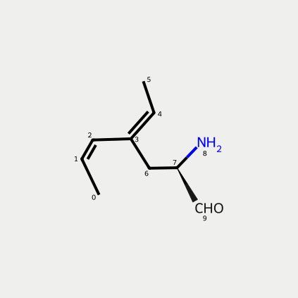 C/C=C\C(=C/C)C[C@@H](N)C=O